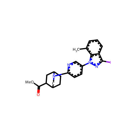 COC(=O)C1CC2CCC1CN2c1ccc(-n2nc(I)c3cccc(C)c32)cn1